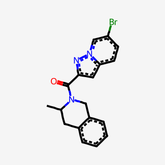 CC1Cc2ccccc2CN1C(=O)c1cc2ccc(Br)cn2n1